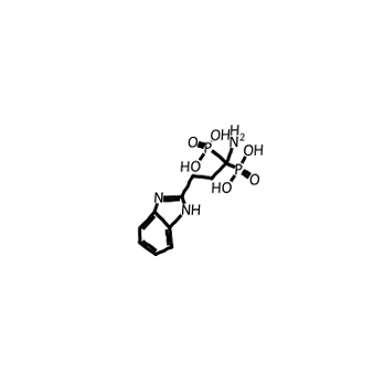 NC(CCc1nc2ccccc2[nH]1)(P(=O)(O)O)P(=O)(O)O